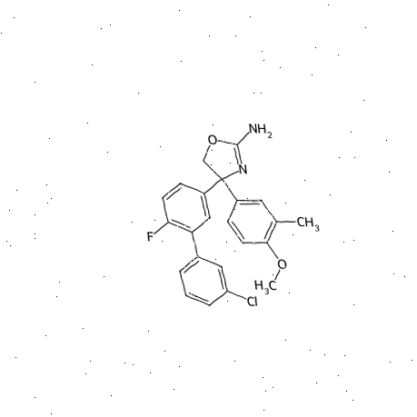 COc1ccc(C2(c3ccc(F)c(-c4cccc(Cl)c4)c3)COC(N)=N2)cc1C